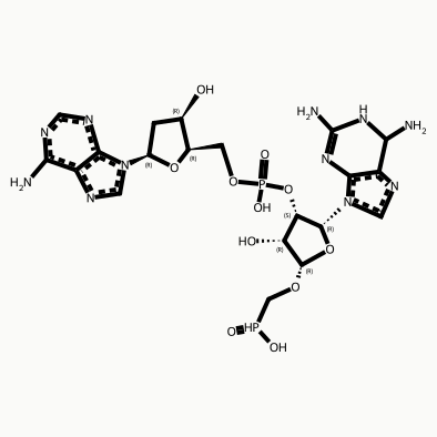 NC1=Nc2c(ncn2[C@@H]2O[C@H](OC[PH](=O)O)[C@H](O)[C@@H]2OP(=O)(O)OC[C@H]2O[C@@H](n3cnc4c(N)ncnc43)C[C@H]2O)C(N)N1